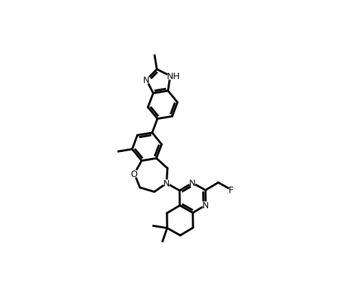 Cc1nc2cc(-c3cc(C)c4c(c3)CN(c3nc(CF)nc5c3CC(C)(C)CC5)CCO4)ccc2[nH]1